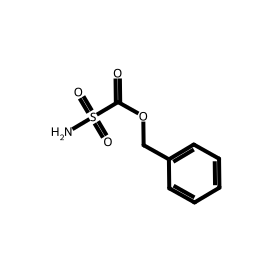 NS(=O)(=O)C(=O)OCc1ccccc1